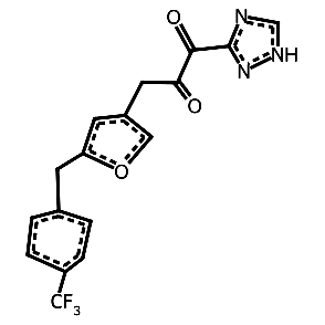 O=C(Cc1coc(Cc2ccc(C(F)(F)F)cc2)c1)C(=O)c1nc[nH]n1